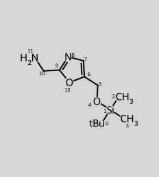 CC(C)(C)[Si](C)(C)OCc1cnc(CN)o1